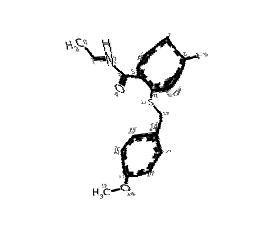 CCNC(=O)c1ccc(F)cc1SCc1ccc(OC)cc1